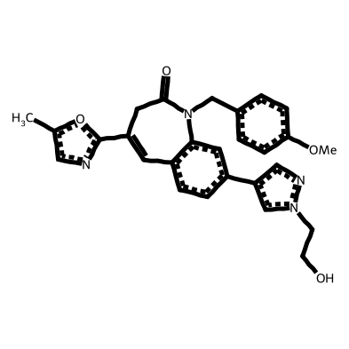 COc1ccc(CN2C(=O)CC(c3ncc(C)o3)=Cc3ccc(-c4cnn(CCO)c4)cc32)cc1